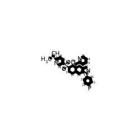 CN(C)c1ccc(S(=O)(=O)[C@@H]2CCC3=Cc4c(cnn4-c4ccc(F)cc4)C[C@@]3(C(=O)c3ccccn3)C2)cn1